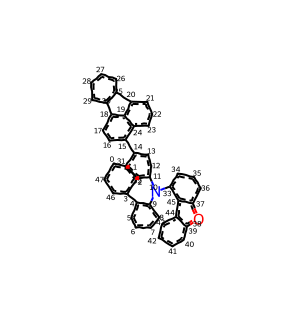 c1ccc(-c2ccccc2N(c2ccc(-c3ccc4c5c(cccc35)-c3ccccc3-4)cc2)c2cccc3oc4ccccc4c23)cc1